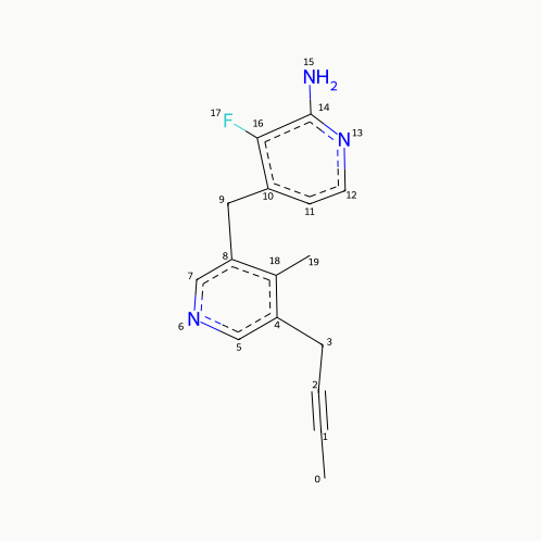 CC#CCc1cncc(Cc2ccnc(N)c2F)c1C